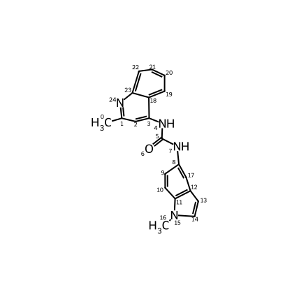 Cc1cc(NC(=O)Nc2ccc3c(ccn3C)c2)c2ccccc2n1